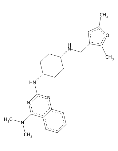 Cc1cc(CN[C@H]2CC[C@@H](Nc3nc(N(C)C)c4ccccc4n3)CC2)c(C)o1